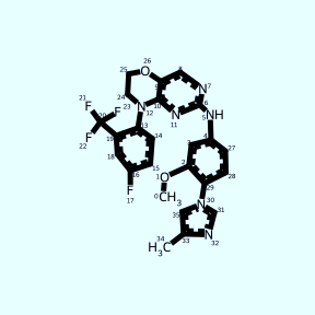 COc1cc(Nc2ncc3c(n2)N(c2ccc(F)cc2C(F)(F)F)CCO3)ccc1-n1cnc(C)c1